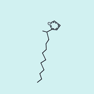 CCCCCCCCCCC(C)c1ccco1